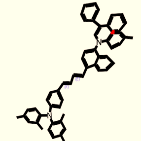 Cc1ccc(N(C=C(c2ccccc2)c2ccccc2)c2ccc(/C=C/C=C/c3ccc(N(c4ccc(C)cc4C)c4ccc(C)cc4C)cc3)c3ccccc23)cc1